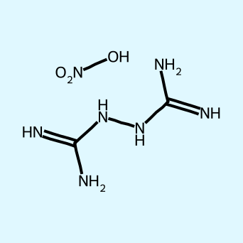 N=C(N)NNC(=N)N.O=[N+]([O-])O